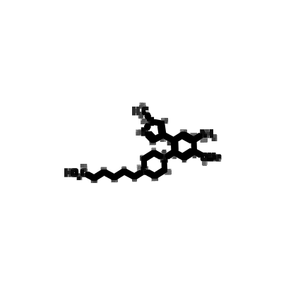 COc1cc(N2CCN(CCCCCC(=O)O)CC2)c(-c2cnn(C)c2)cc1N